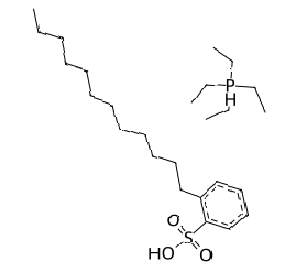 CCCCCCCCCCCCc1ccccc1S(=O)(=O)O.CC[PH](CC)(CC)CC